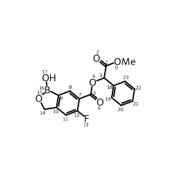 COC(=O)C(OC(=O)c1cc2c(cc1F)COB2O)c1ccccc1